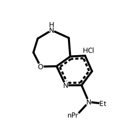 CCCN(CC)c1ccc2c(n1)OCCNC2.Cl